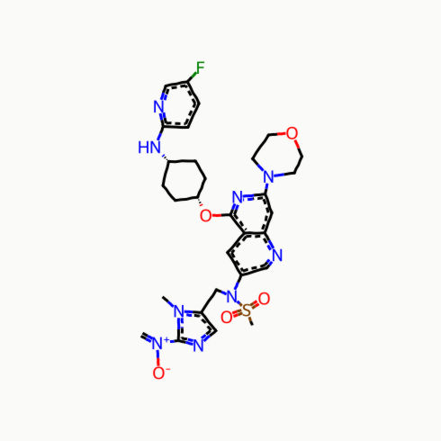 C=[N+]([O-])c1ncc(CN(c2cnc3cc(N4CCOCC4)nc(O[C@H]4CC[C@@H](Nc5ccc(F)cn5)CC4)c3c2)S(C)(=O)=O)n1C